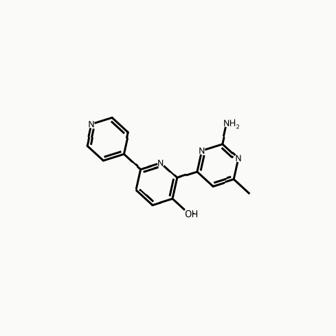 Cc1cc(-c2nc(-c3ccncc3)ccc2O)nc(N)n1